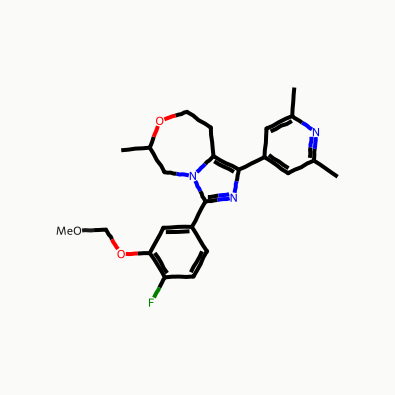 COCOc1cc(-c2nc(-c3cc(C)nc(C)c3)c3n2CC(C)OCC3)ccc1F